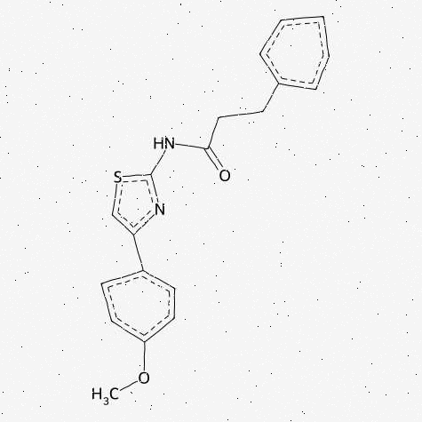 COc1ccc(-c2csc(NC(=O)CCc3ccccc3)n2)cc1